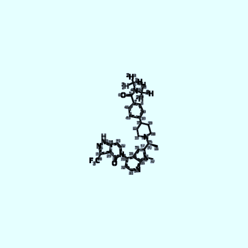 [2H]C([2H])([2H])N(C(=O)c1ccc(C2CCN([C@@H](C)c3cc4c(-n5ccc6[nH]nc(C(F)(F)F)c6c5=O)ccnc4n3C)CC2)cc1)C([2H])([2H])[2H]